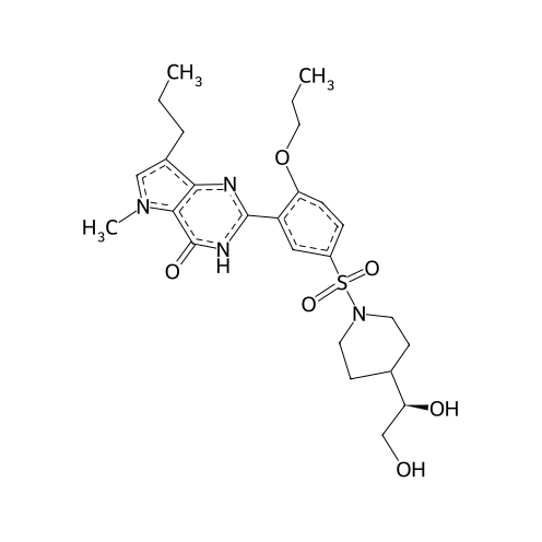 CCCOc1ccc(S(=O)(=O)N2CCC([C@@H](O)CO)CC2)cc1-c1nc2c(CCC)cn(C)c2c(=O)[nH]1